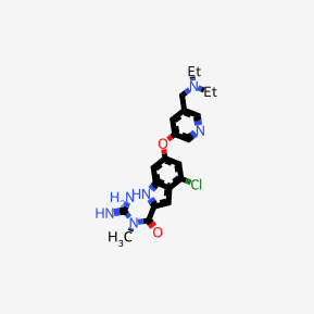 CCN(CC)Cc1cncc(Oc2cc(Cl)c3cc(C(=O)N(C)C(=N)N)[nH]c3c2)c1